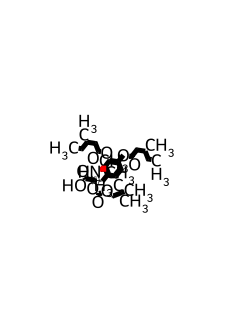 CCC(C)CC(=O)Oc1ccc(C[C@](NC(C)C)(OC(=O)OCC(C)(C)C)C(=O)O)cc1OC(=O)CC(C)CC